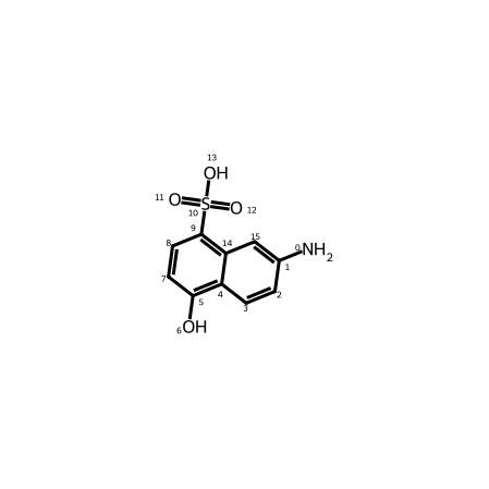 Nc1ccc2c(O)ccc(S(=O)(=O)O)c2c1